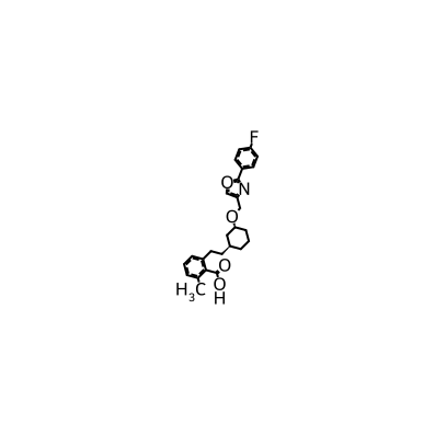 Cc1cccc(CC[C@@H]2CCC[C@H](OCc3coc(-c4ccc(F)cc4)n3)C2)c1C(=O)O